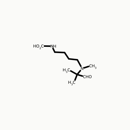 CN(CCCCNC(=O)O)C(C)(C)C=O